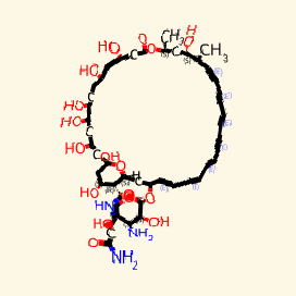 C[C@H]1C[C@H](O)[C@@H](C)/C=C/C=C/C=C/C=C/C=C/C=C/C=C/C(O[C@@H]2OC[C@@H](O)[C@H](N)[C@@H]2O)C[C@@H]2OC(O)(CC(O)CC(O)C(O)CCC(O)CC(O)CC(=O)O1)C[C@H](O)[C@H]2C(=O)NCCCC(N)=O